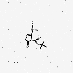 C[C@@H](F)C1CCC(=O)N1C(=O)OC(C)(C)C